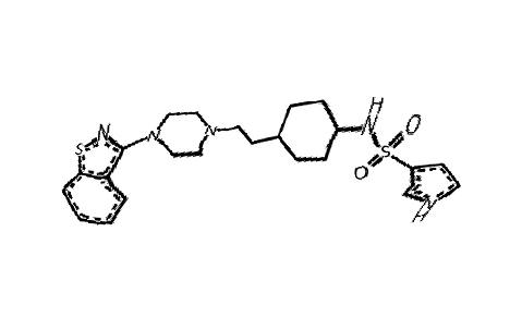 O=S(=O)(NC1CCC(CCN2CCN(c3nsc4ccccc34)CC2)CC1)c1cc[nH]c1